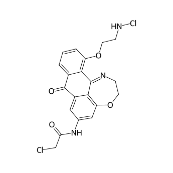 O=C(CCl)Nc1cc2c3c(c1)C(=O)c1cccc(OCCNCl)c1C3=NCCO2